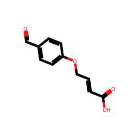 O=Cc1ccc(OC/C=C/C(=O)O)cc1